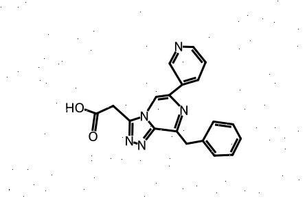 O=C(O)Cc1nnc2c(Cc3ccccc3)nc(-c3cccnc3)cn12